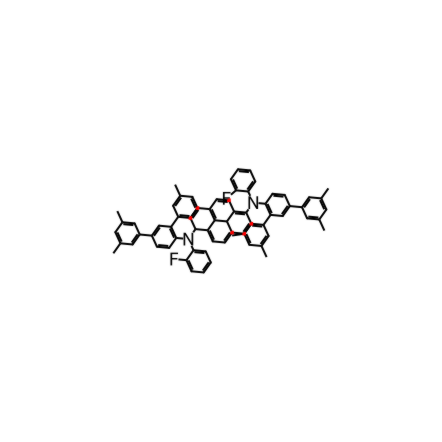 Cc1cc(C)cc(-c2ccc(N(C3=C4C=CC5=C6C(=CC=C(C=C3)C46)C(N(c3ccccc3F)c3ccc(-c4cc(C)cc(C)c4)cc3-c3cccc(C)c3)C=C5)c3ccccc3F)c(-c3cc(C)cc(C)c3)c2)c1